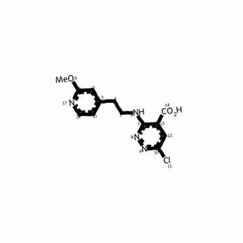 COc1cc(CCNc2nnc(Cl)cc2C(=O)O)ccn1